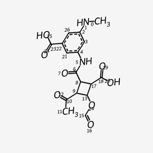 CNc1cc(NC(=O)C2C(C(C)=O)C(OC=O)C2C(=O)O)cc(C(=O)O)c1